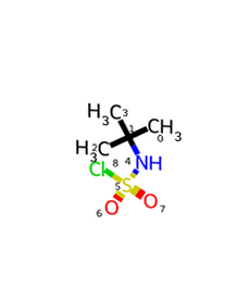 CC(C)(C)NS(=O)(=O)Cl